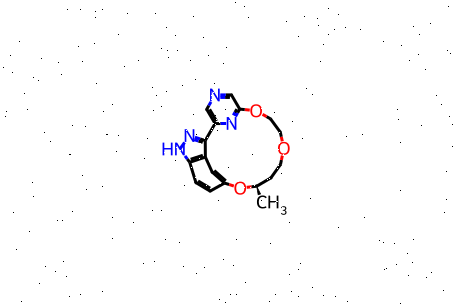 C[C@@H]1CCOCCOc2cncc(n2)-c2n[nH]c3ccc(cc23)O1